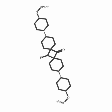 CCCCCO[C@H]1CC[C@H](C2CCC3(CC2)C(=O)C2(CCC([C@H]4CC[C@H](OCCCCC)CC4)CC2)C3F)CC1